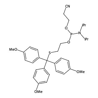 COc1ccc(C(SCCOP(OCCC#N)N(C(C)C)C(C)C)(c2ccc(OC)cc2)c2ccc(OC)cc2)cc1